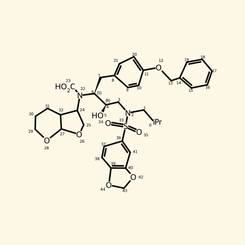 CC(C)CN(C[C@@H](O)[C@H](Cc1ccc(OCc2ccccc2)cc1)N(C(=O)O)C1COC2OCCCC21)S(=O)(=O)c1ccc2c(c1)OCO2